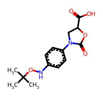 CC(C)(C)ONc1ccc(N2CC(C(=O)O)OC2=O)cc1